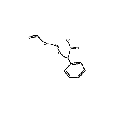 O=CONOC(c1ccccc1)[N+](=O)[O-]